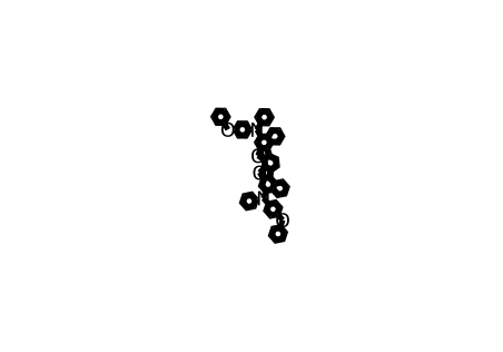 c1ccc(Oc2ccc(N(c3ccccc3)c3cc4oc5c(ccc6c5oc5cc(N(c7ccccc7)c7ccc(Oc8ccccc8)cc7)c7ccccc7c56)c4c4ccccc34)cc2)cc1